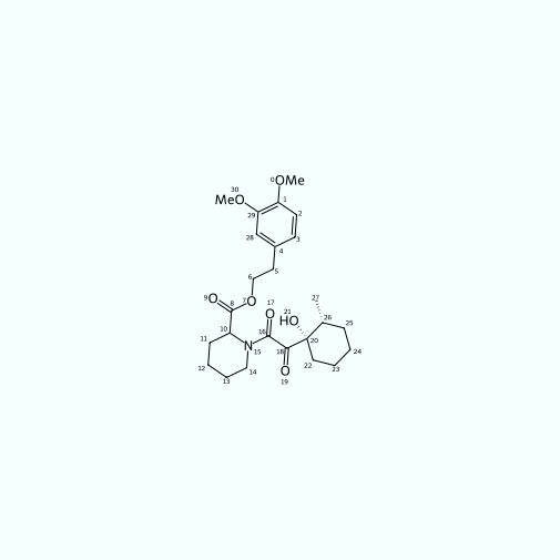 COc1ccc(CCOC(=O)C2CCCCN2C(=O)C(=O)[C@]2(O)CCCC[C@H]2C)cc1OC